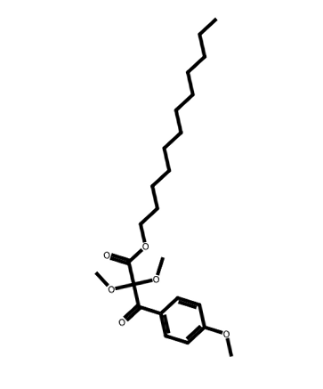 CCCCCCCCCCCCOC(=O)C(OC)(OC)C(=O)c1ccc(OC)cc1